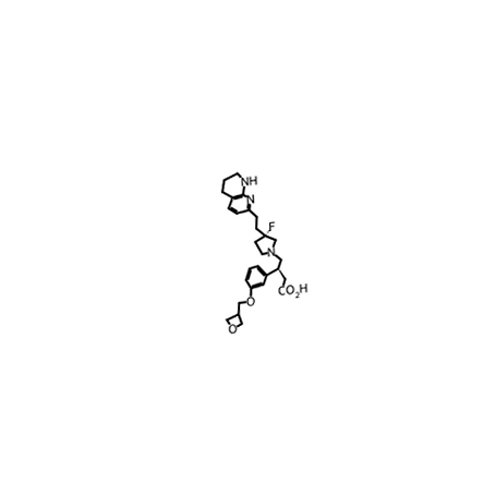 O=C(O)C[C@H](CN1CC[C@@](F)(CCc2ccc3c(n2)NCCC3)C1)c1cccc(OCC2COC2)c1